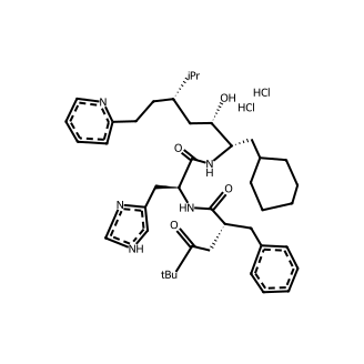 CC(C)[C@@H](CCc1ccccn1)C[C@H](O)[C@H](CC1CCCCC1)NC(=O)[C@H](Cc1c[nH]cn1)NC(=O)[C@@H](CC(=O)C(C)(C)C)Cc1ccccc1.Cl.Cl